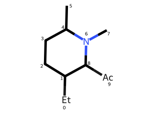 CCC1CCC(C)N(C)C1C(C)=O